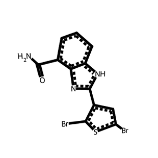 NC(=O)c1cccc2[nH]c(-c3cc(Br)sc3Br)nc12